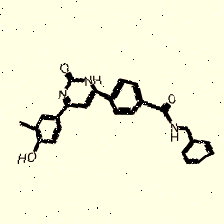 Cc1cc(-c2cc(-c3ccc(C(=O)NCc4ccccc4)cc3)[nH]c(=O)n2)ccc1O